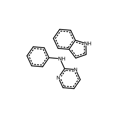 c1ccc(Nc2ncccn2)cc1.c1ccc2[nH]ccc2c1